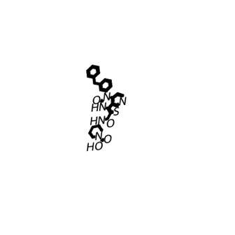 O=C(NC1CCCN(C(=O)O)C1)c1sc2nccc3c2c1NC(=O)N3c1cccc(Cc2ccccc2)c1